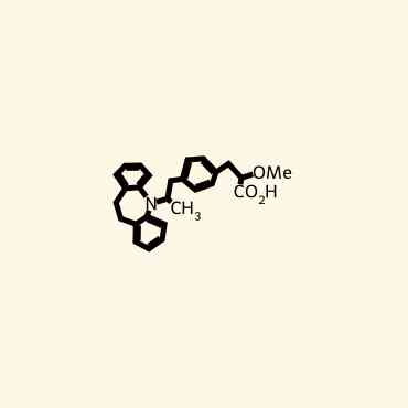 COC(Cc1ccc(CC(C)N2c3ccccc3CCc3ccccc32)cc1)C(=O)O